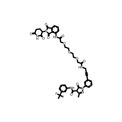 CC1=NN(c2cccc(C#CCNC(=O)COCCOCCOCC(=O)Nc3cccc4c3C(=O)N(C3CCC(=O)NC3=O)C4=O)c2)C(=O)C1C(=O)Nc1cccc(C(C)(F)F)c1